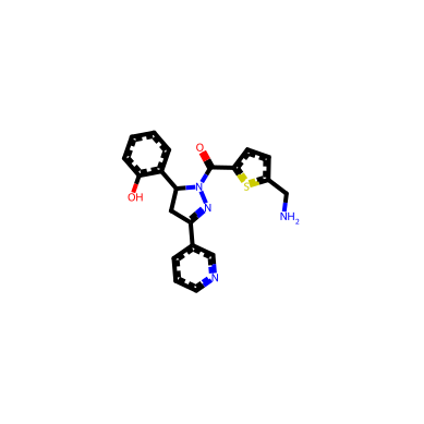 NCc1ccc(C(=O)N2N=C(c3cccnc3)CC2c2ccccc2O)s1